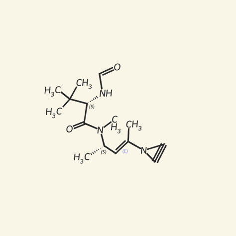 C/C(=C\[C@H](C)N(C)C(=O)[C@@H](NC=O)C(C)(C)C)N1C#C1